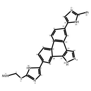 CNCSc1ncc(-c2ccc3c4ccc(-c5cnc(C(C)C)[nH]5)cc4c4cn[nH]c4c3c2)[nH]1